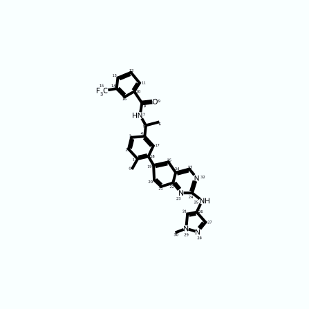 Cc1ccc(C(C)NC(=O)c2cccc(C(F)(F)F)c2)cc1-c1ccc2nc(Nc3cnn(C)c3)ncc2c1